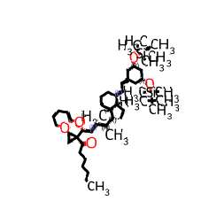 CCCCCCC(=O)C1(C(/C=C/[C@@H](C)[C@H]2CC[C@H]3/C(=C/C=C4C[C@@H](O[Si](C)(C)C(C)(C)C)C[C@H](O[Si](C)(C)C(C)(C)C)C4)CCC[C@]23C)OC2CCCCO2)CC1